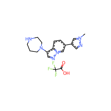 Cn1cc(-c2ccc3c(N4CCCNCC4)cnn3c2)cn1.O=C(O)C(F)(F)F